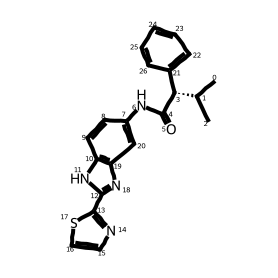 CC(C)[C@H](C(=O)Nc1ccc2[nH]c(-c3nccs3)nc2c1)c1ccccc1